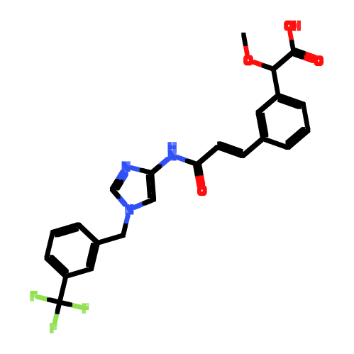 COC(C(=O)O)c1cccc(C=CC(=O)Nc2cn(Cc3cccc(C(F)(F)F)c3)cn2)c1